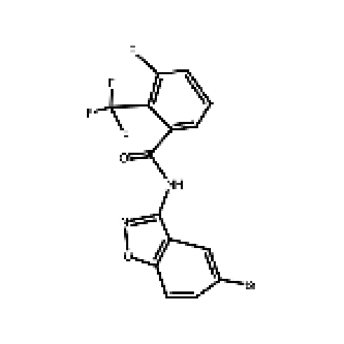 O=C(Nc1noc2ccc(Br)cc12)c1cccc(F)c1C(F)(F)F